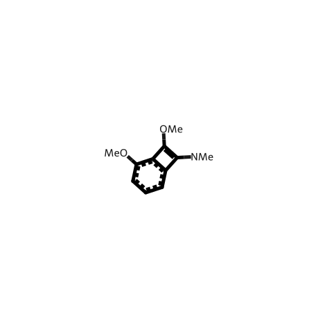 CNC1=C(OC)c2c(OC)cccc21